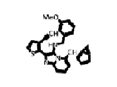 C#Cc1ccsc1-c1nc2cccc(C)n2c1NCc1cccc(OC)c1.c1cc2cc-2c1